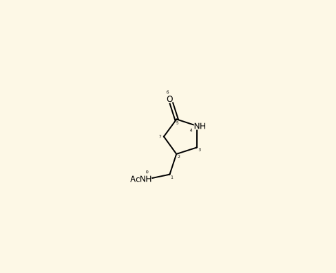 CC(=O)NCC1CNC(=O)C1